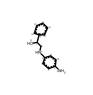 Nc1ccc(NCC(O)c2ccccc2)cc1